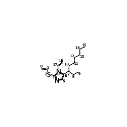 C=CSc1ncc(C(CC)CCCCCC)n1C=C